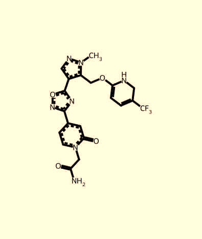 Cn1ncc(-c2nc(-c3ccn(CC(N)=O)c(=O)c3)no2)c1COC1=CC=C(C(F)(F)F)CN1